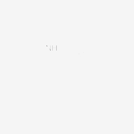 CNc1cccc2c1OCC21CCC1